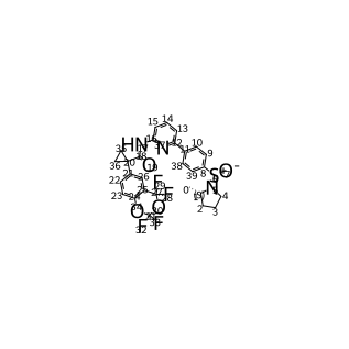 C[C@H]1CCCN1[S+]([O-])c1ccc(-c2cccc(NC(=O)C3(c4ccc5c(c4)C(F)(F)OC(F)(F)O5)CC3)n2)cc1